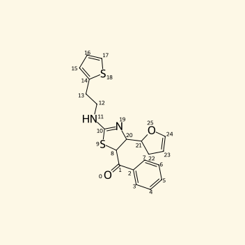 O=C(c1ccccc1)C1SC(NCCc2cccs2)=NC1C1CC=CO1